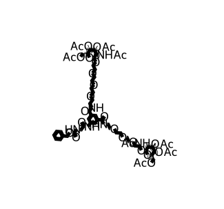 CC(=O)N[C@H]1C(OCCOCCOCCOCCNC(=O)c2cc(NC(=O)CNC(=O)OCc3ccccc3)cc(C(=O)NCCOCCOCCOCCOC3O[C@H](COC(C)=O)[C@H](OC(C)=O)[C@H](OC(C)=O)[C@H]3NC(C)=O)c2)O[C@H](COC(C)=O)[C@H](OC(C)=O)[C@@H]1OC(C)=O